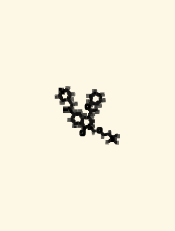 CS(C)(C)CCOCn1cc(-c2cc3ccccc3o2)c2cc(NCc3ccncc3)ccc2c1=O